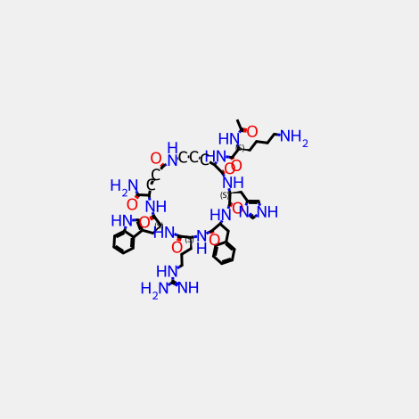 CC(=O)N[C@@H](CCCCN)C(=O)NC1CCCNC(=O)CCC(C(N)=O)NC(=O)[C@H](Cc2c[nH]c3ccccc23)NC(=O)[C@H](CCCNC(=N)N)NC(=O)C(Cc2ccccc2)NC(=O)[C@H](Cc2c[nH]cn2)NC1=O